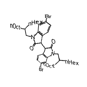 CCCCCCCCC(CCCCCC)CN1C(=O)C(C2C(=O)N(CC(CCCCCC)CCCCCCCC)c3cc(Br)ccc32)c2ccc(Br)cc21